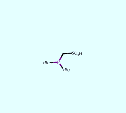 CC(C)(C)P(CS(=O)(=O)O)C(C)(C)C